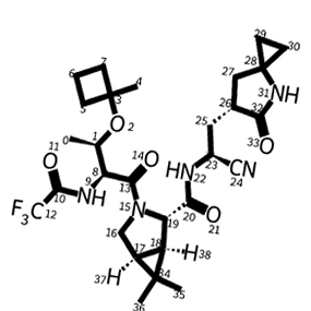 C[C@@H](OC1(C)CCC1)[C@H](NC(=O)C(F)(F)F)C(=O)N1C[C@H]2[C@@H]([C@H]1C(=O)N[C@H](C#N)C[C@@H]1CC3(CC3)NC1=O)C2(C)C